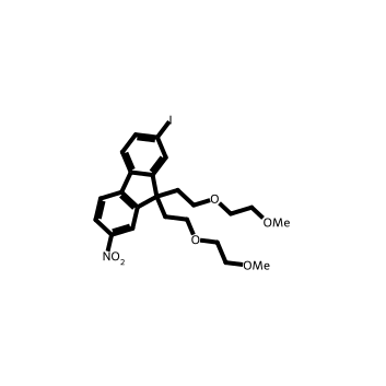 COCCOCCC1(CCOCCOC)c2cc(I)ccc2-c2ccc([N+](=O)[O-])cc21